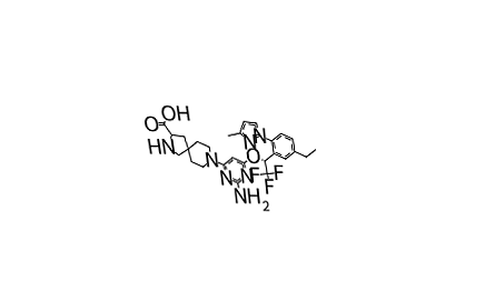 CCc1ccc(-n2ccc(C)n2)c([C@@H](Oc2cc(N3CCC4(CC3)CNC(C(=O)O)C4)nc(N)n2)C(F)(F)F)c1